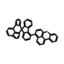 c1ccc2c(c1)Sc1ccc(-c3cccc4c3-c3ccccc3C43c4ccccc4-c4cccc5cccc3c45)c3cccc-2c13